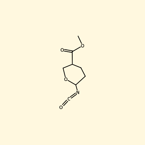 COC(=O)C1CCC(N=C=O)OC1